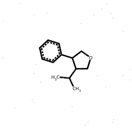 CC(C)C1COCC1c1ccccc1